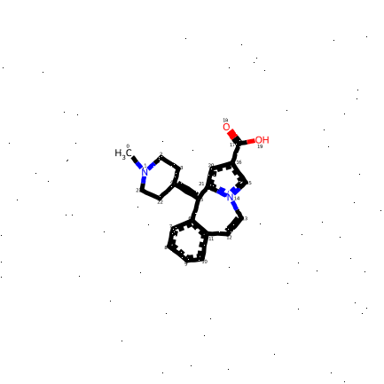 CN1CCC(=C2c3ccccc3C=Cn3cc(C(=O)O)cc32)CC1